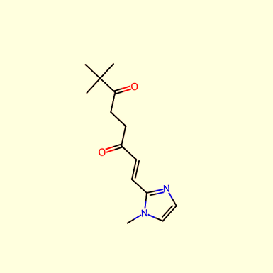 Cn1ccnc1/C=C/C(=O)CCC(=O)C(C)(C)C